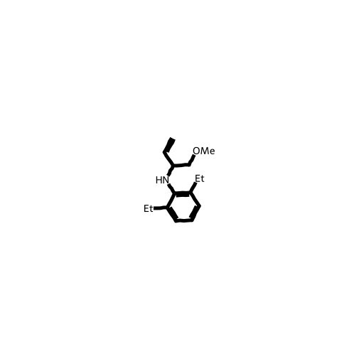 C=CC(COC)Nc1c(CC)cccc1CC